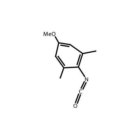 COc1cc(C)c(N=C=O)c(C)c1